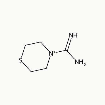 N=C(N)[N+]1CCSCC1